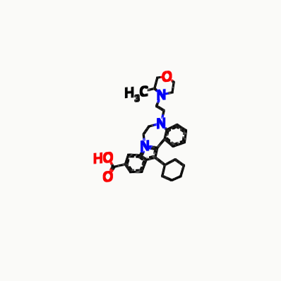 CC1COCCN1CCN1CCn2c(c(C3CCCCC3)c3ccc(C(=O)O)cc32)-c2ccccc21